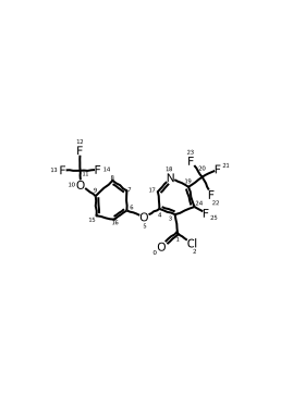 O=C(Cl)c1c(Oc2ccc(OC(F)(F)F)cc2)cnc(C(F)(F)F)c1F